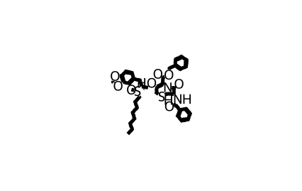 CCCCCCCC[S+]([O-])C(C)Cc1ccc2c(c1)OCO2.O=C(OCc1ccccc1)C1=C(O)CS[C@@H]2C(NC(=O)c3ccccc3)C(=O)N12